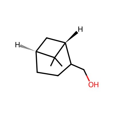 CC1(C)[C@H]2CCC(CO)[C@H]1C2